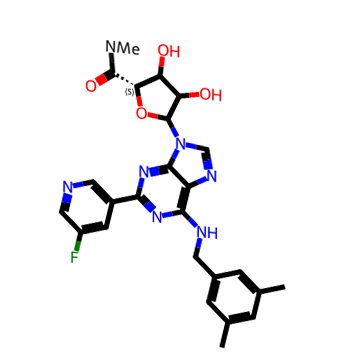 CNC(=O)[C@H]1OC(n2cnc3c(NCc4cc(C)cc(C)c4)nc(-c4cncc(F)c4)nc32)C(O)C1O